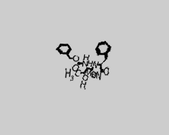 CNC(=O)[C@H](Cc1ccccc1)NC(=O)[C@@H](NC(=O)OCc1ccccc1)C(C)O